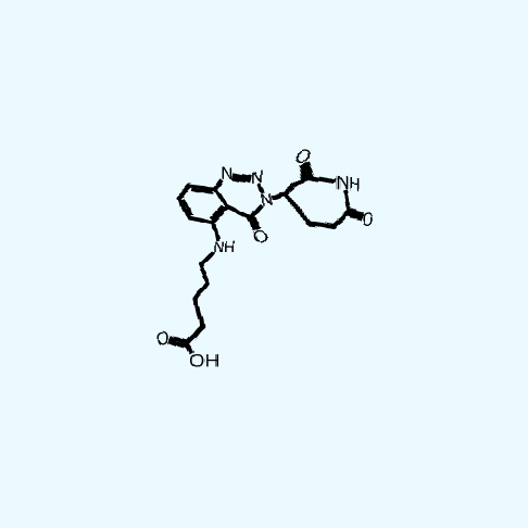 O=C(O)CCCCNc1cccc2nnn(C3CCC(=O)NC3=O)c(=O)c12